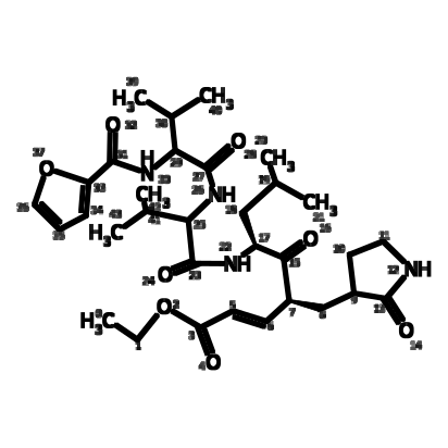 CCOC(=O)/C=C/[C@H](CC1CCNC1=O)C(=O)[C@H](CC(C)C)NC(=O)C(NC(=O)C(NC(=O)c1ccco1)C(C)C)C(C)C